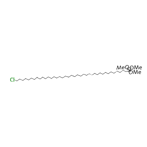 CO[Si](CCCCCCCCCCCCCCCCCCCCCCCCCCCCCCCCCCCCCCCCl)(OC)OC